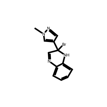 Cn1cc(C2(Br)C=Nc3ccccc3N2)cn1